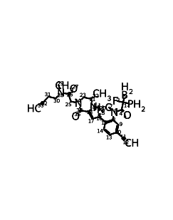 BC(F)(P)C(=O)N(C)c1cc(C#C)ccc1-c1cc2n(n1)C(C)CN(CC(=O)N(C)CCC#C)C2=O